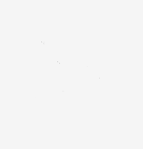 [2H]C([2H])([2H])OOC(=O)C(C)c1ccncn1